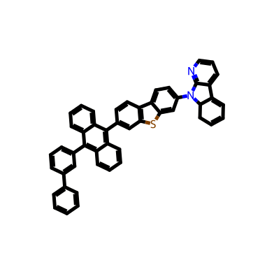 C1=CCC2C(=C1)c1cccnc1N2c1ccc2c(c1)sc1cc(-c3c4ccccc4c(-c4cccc(-c5ccccc5)c4)c4ccccc34)ccc12